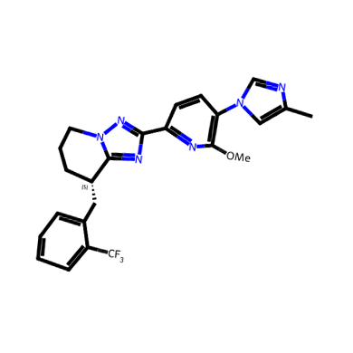 COc1nc(-c2nc3n(n2)CCC[C@H]3Cc2ccccc2C(F)(F)F)ccc1-n1cnc(C)c1